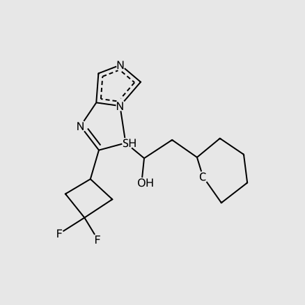 OC(CC1CCCCC1)[SH]1C(C2CC(F)(F)C2)=Nc2cncn21